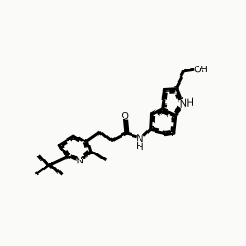 Cc1nc(C(C)(C)C)ccc1CCC(=O)Nc1ccc2[nH]c(CO)cc2c1